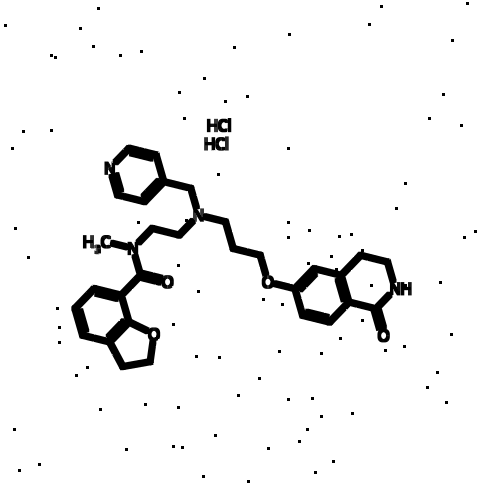 CN(CCN(CCCOc1ccc2c(c1)CCNC2=O)Cc1ccncc1)C(=O)c1cccc2c1OCC2.Cl.Cl